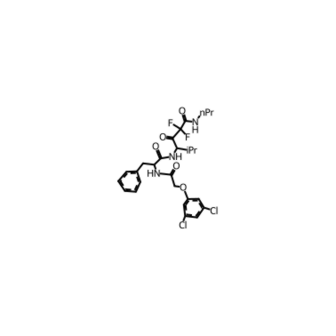 CCCNC(=O)C(F)(F)C(=O)C(NC(=O)C(Cc1ccccc1)NC(=O)COc1cc(Cl)cc(Cl)c1)C(C)C